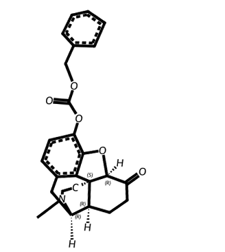 CN1CC[C@]23c4c5ccc(OC(=O)OCc6ccccc6)c4O[C@H]2C(=O)CC[C@H]3[C@H]1C5